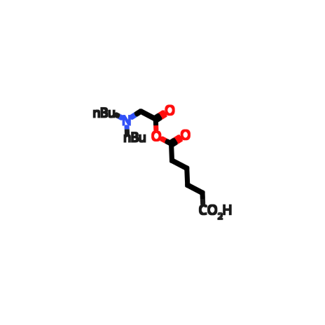 CCCCN(CCCC)CC(=O)OC(=O)CCCCC(=O)O